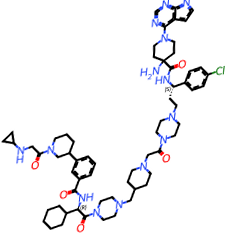 NC1(C(=O)N[C@@H](CCN2CCN(C(=O)CN3CCC(CN4CCN(C(=O)[C@H](NC(=O)c5cccc(C6CCCN(C(=O)CNC7CC7)C6)c5)C5CCCCC5)CC4)CC3)CC2)c2ccc(Cl)cc2)CCN(c2ncnc3[nH]ccc23)CC1